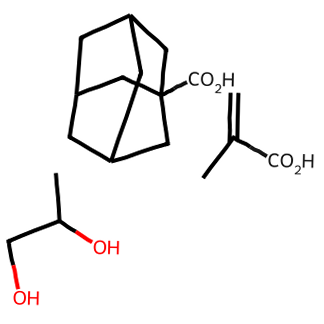 C=C(C)C(=O)O.CC(O)CO.O=C(O)C12CC3CC(CC(C3)C1)C2